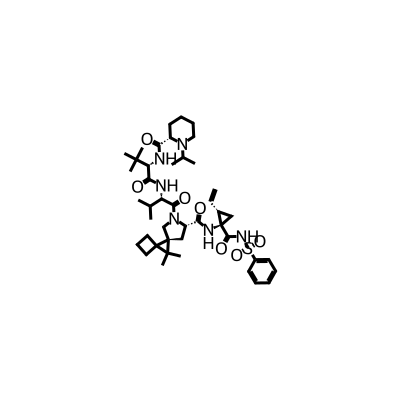 C=C[C@@H]1C[C@]1(NC(=O)[C@@H]1C[C@@]2(CN1C(=O)[C@@H](NC(=O)[C@@H](NC(=O)[C@@H]1CCCCN1C(C)C)C(C)(C)C)C(C)C)C(C)(C)C21CCC1)C(=O)NS(=O)(=O)c1ccccc1